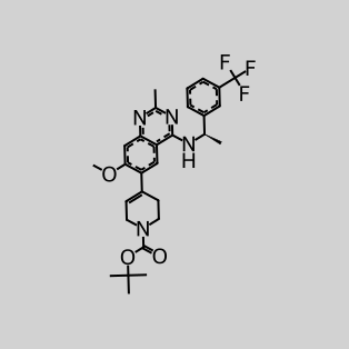 COc1cc2nc(C)nc(N[C@H](C)c3cccc(C(F)(F)F)c3)c2cc1C1=CCN(C(=O)OC(C)(C)C)CC1